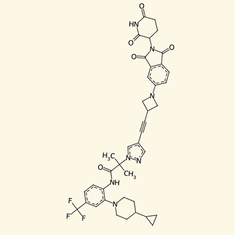 CC(C)(C(=O)Nc1ccc(C(F)(F)F)cc1N1CCC(C2CC2)CC1)n1cc(C#CC2CN(c3ccc4c(c3)C(=O)N(C3CCC(=O)NC3=O)C4=O)C2)cn1